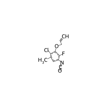 C#CCOc1c(F)c(N=C=O)cc(C)c1Cl